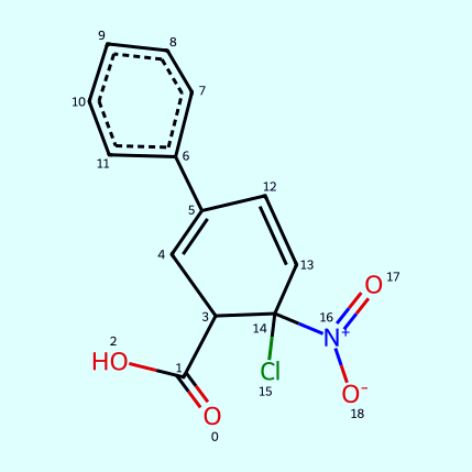 O=C(O)C1C=C(c2ccccc2)C=CC1(Cl)[N+](=O)[O-]